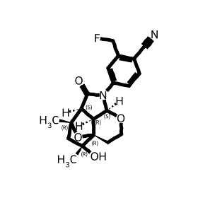 C[C@@]12C[C@@](C)(O)[C@]3(CCO[C@H]4[C@@H]3[C@@H]1C(=O)N4c1ccc(C#N)c(CF)c1)O2